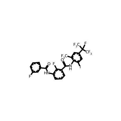 O=C(Nc1cccc(C(=O)Nc2c(I)cc(C(F)(C(F)(F)F)C(F)(F)F)cc2C(F)(F)F)c1F)c1cccc(F)c1